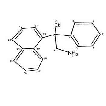 [CH2]CC(CN)(c1ccccc1)c1cccc2ccccc12